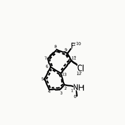 CNc1cccc2ccc(F)c(Cl)c12